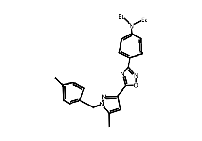 CCN(CC)c1ccc(-c2noc(-c3cc(C)n(Cc4ccc(C)cc4)n3)n2)cc1